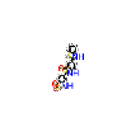 O=S1(=O)CNc2cc(C3Nc4ccc(C5Nc6ccccc6S5)cc4[S+]3[O-])ccc21